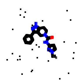 Cn1ccc(NC(=O)N2CCc3[nH]nc(-c4ccccc4)c3C2)n1